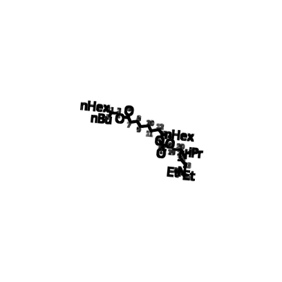 CCCCCCC(CCCC)COC(=O)CCCCCCC(CCCCCC)OC(=O)OCCN(CCN(CC)CC)C(C)C